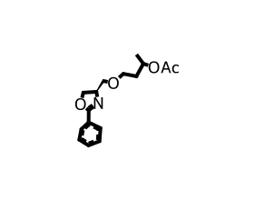 CC(=O)OC(C)CCOC[C@@H]1COC(c2ccccc2)=N1